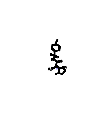 Cc1ccc(S(=O)(=O)NC(=O)/C(=C2\NCCN2C)[N+](=O)[O-])cc1